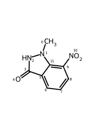 Cn1[nH]c(=O)c2cccc([N+](=O)[O-])c21